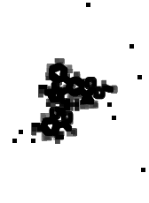 CCOC(=O)C1(c2ccc(-c3ccccc3)c(-c3sc(F)cc3NC(=O)OC(C)c3ccc(F)cc3F)c2)CC1